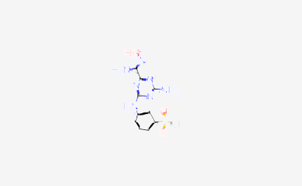 CS(=O)(=O)c1cccc(Nc2nc(N)nc(/C(N)=N/O)n2)c1